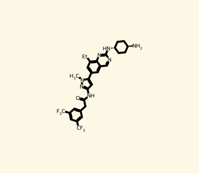 CCc1cc(-c2cc(NC(=O)Cc3cc(C(F)(F)F)cc(C(F)(F)F)c3)nn2C)cc2cnc(N[C@H]3CC[C@H](N)CC3)nc12